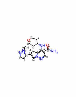 Cn1nccc1-c1cc2c(NC3CCOCC3)c(C(N)=O)cnn2c1